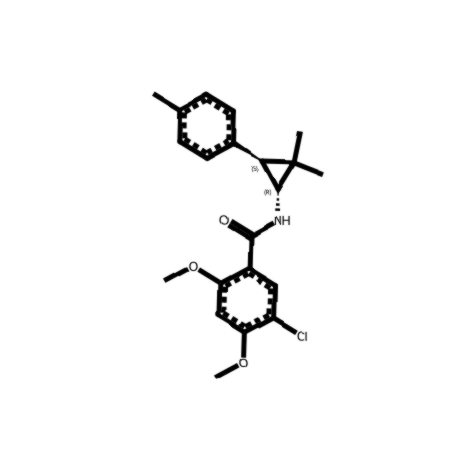 COc1cc(OC)c(C(=O)N[C@@H]2[C@@H](c3ccc(C)cc3)C2(C)C)cc1Cl